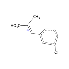 C/C(=C\c1cccc(Cl)c1)C(=O)O